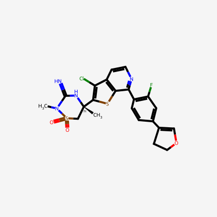 CN1C(=N)N[C@](C)(c2sc3c(-c4ccc(C5=COCC5)cc4F)nccc3c2Cl)CS1(=O)=O